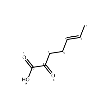 CC=CCCC(=O)C(=O)O